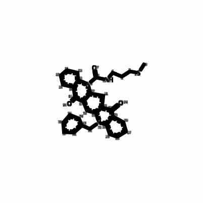 CSCCCNC(=O)n1c2ccccc2c(=O)c2cc3c(cc21)c(=O)c1ccccc1n3Cc1ccccc1